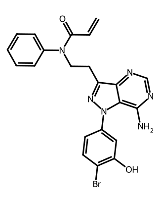 C=CC(=O)N(CCc1nn(-c2ccc(Br)c(O)c2)c2c(N)ncnc12)c1ccccc1